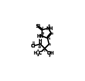 CC(O)(Cc1c[nH]c(=S)[nH]1)NCl